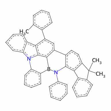 Cc1ccccc1-c1cc2c3c4c1c1ccccc1n4-c1ccccc1B3N(c1ccccc1)c1c-2ccc2c1-c1ccccc1C2(C)C